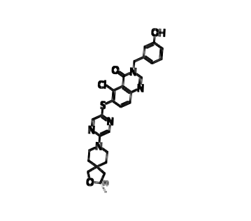 C[C@H]1CC2(CCN(c3cnc(Sc4ccc5ncn(Cc6cccc(O)c6)c(=O)c5c4Cl)cn3)CC2)CO1